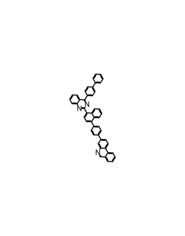 c1ccc(-c2ccc(-c3nc(-c4ccc(-c5ccc(-c6ccc7c(c6)ncc6ccccc67)cc5)c5ccccc45)nc4ccccc34)cc2)cc1